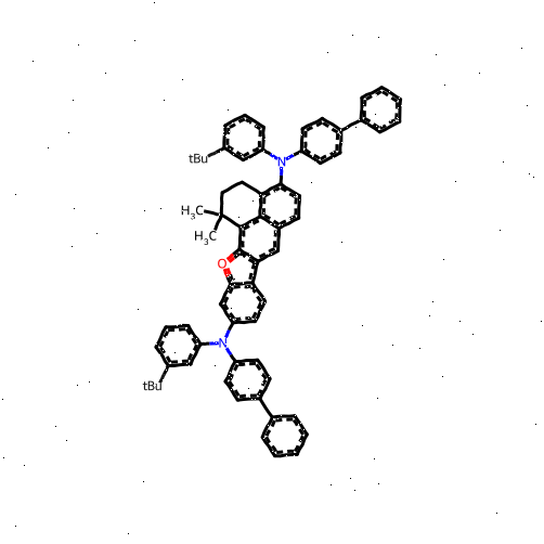 CC(C)(C)c1cccc(N(c2ccc(-c3ccccc3)cc2)c2ccc3c(c2)oc2c4c5c(c(N(c6ccc(-c7ccccc7)cc6)c6cccc(C(C)(C)C)c6)ccc5cc23)CCC4(C)C)c1